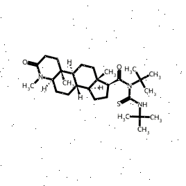 CN1C(=O)CC[C@]2(C)[C@H]3CC[C@]4(C)[C@@H](C(=O)N(C(=S)NC(C)(C)C)C(C)(C)C)CC[C@H]4[C@@H]3CC[C@@H]12